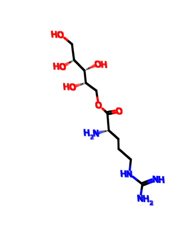 N=C(N)NCCC[C@H](N)C(=O)OC[C@H](O)[C@@H](O)[C@H](O)CO